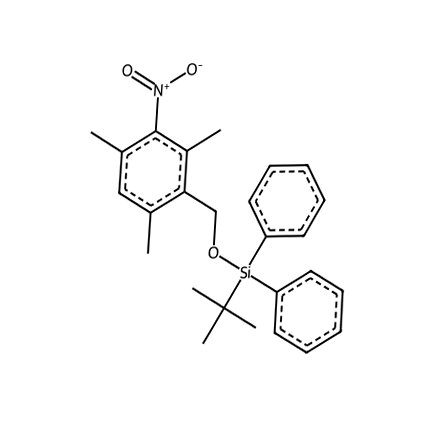 Cc1cc(C)c([N+](=O)[O-])c(C)c1CO[Si](c1ccccc1)(c1ccccc1)C(C)(C)C